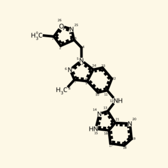 Cc1cc(Cn2nc(C)c3cc(Nc4n[nH]c5cccnc45)ccc32)no1